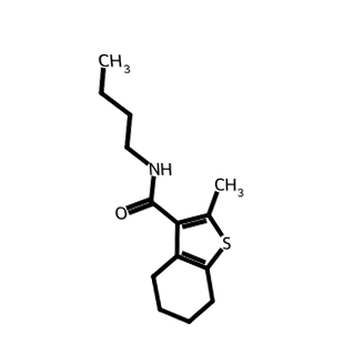 CCCCNC(=O)c1c(C)sc2c1CCCC2